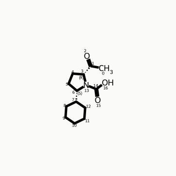 CC(=O)[C@H]1CC[C@@H](C2CCCCC2)N1C(=O)O